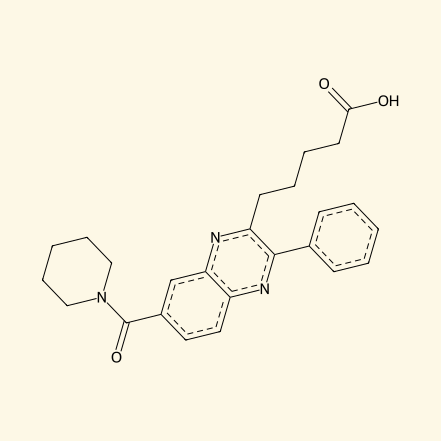 O=C(O)CCCCc1nc2cc(C(=O)N3CCCCC3)ccc2nc1-c1ccccc1